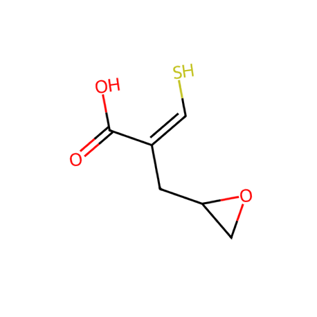 O=C(O)C(=CS)CC1CO1